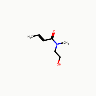 [CH2]/C=C/C(=O)N(C)CCO